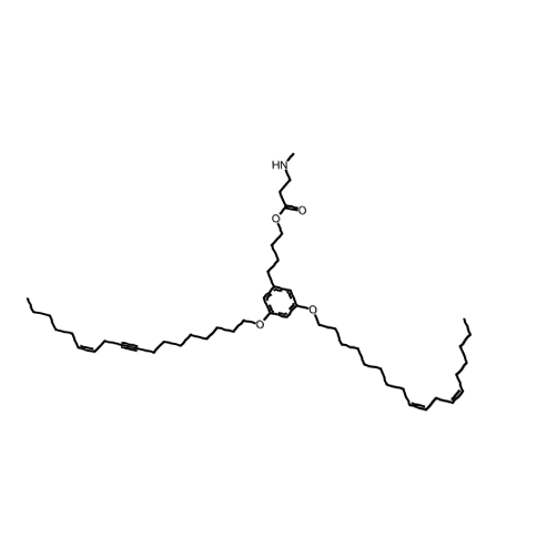 CCCCC/C=C\CC#CCCCCCCCCOc1cc(CCCCOC(=O)CCNC)cc(OCCCCCCCC/C=C\C/C=C\CCCCC)c1